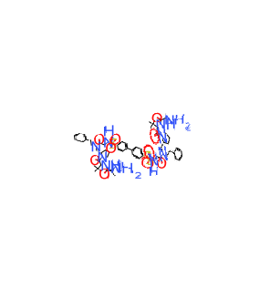 C[C@H](N)C(=O)N[C@H](C(=O)N1CCC[C@H]1CN(CCc1ccccc1)C(=O)CNS(=O)(=O)c1ccc(-c2ccc(S(=O)(=O)NCC(=O)N(CCc3ccccc3)C[C@@H]3CCCN3C(=O)[C@@H](NC(=O)[C@H](C)N)C(C)(C)C)cc2)cc1)C(C)(C)C